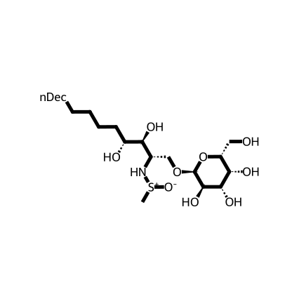 CCCCCCCCCCCCCC[C@@H](O)[C@@H](O)[C@H](CO[C@H]1O[C@H](CO)[C@H](O)[C@H](O)[C@H]1O)N[S+](C)[O-]